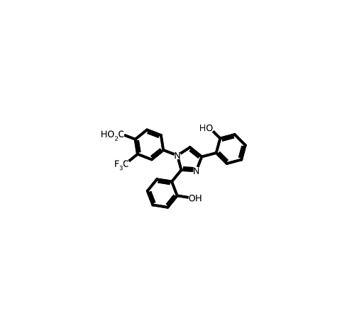 O=C(O)c1ccc(-n2cc(-c3ccccc3O)nc2-c2ccccc2O)cc1C(F)(F)F